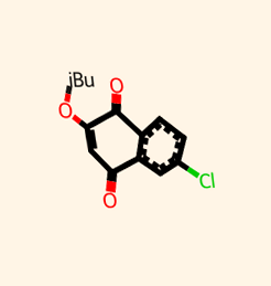 CCC(C)OC1=CC(=O)c2cc(Cl)ccc2C1=O